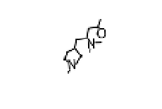 CC(=O)CC(CC1CCN(C)CC1)N(C)C